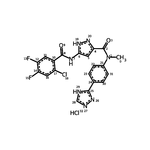 CN(C(=O)c1cc(NC(=O)c2cc(F)c(F)cc2Cl)[nH]n1)c1ccc(-c2nnc[nH]2)cc1.Cl